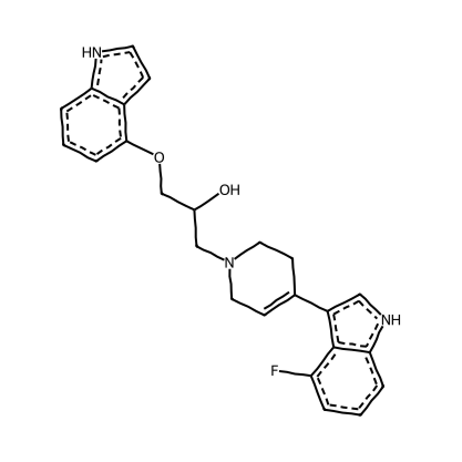 OC(COc1cccc2[nH]ccc12)CN1CC=C(c2c[nH]c3cccc(F)c23)CC1